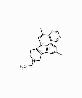 C/C(=C/n1c2c(c3cc(C)ccc31)CN(CC(F)(F)F)CC2)c1ccncc1